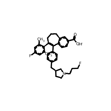 Cc1cc(F)cc(C)c1C1=C(c2ccc(CC3CCN(CCCF)C3)cc2)c2ccc(C(=O)O)cc2CCC1